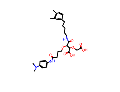 Cc1ccc(CCCCCNC(=O)C(OCCCC(=O)Nc2ccc(N(C)C)cc2)C(OCC(=O)O)C(=O)O)cc1C